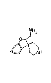 NCC1Oc2ccccc2C12CCNCC2